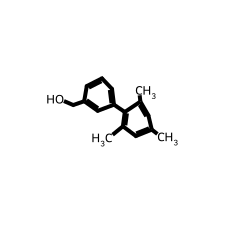 Cc1cc(C)c(-c2cccc(CO)c2)c(C)c1